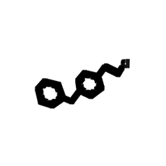 ClC=Cc1ccc(Cc2ccccc2)cc1